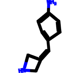 Nc1ccc(C=C2CNC2)cc1